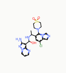 CC(NC(O)c1c(N)nn2cccnc12)c1cc(Cl)c2cncn2c1N1CCS(=O)(=O)CC1